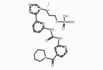 C[C@H](CCOP(=O)(O)O)n1cnnc1-c1cccc(NC(=O)Nc2cc(C(=O)N3CCCCC3)ccn2)n1